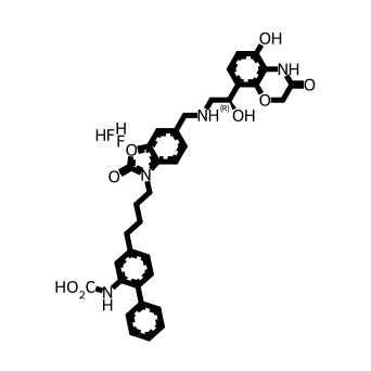 F.F.O=C(O)Nc1cc(CCCCn2c(=O)oc3cc(CNC[C@H](O)c4ccc(O)c5c4OCC(=O)N5)ccc32)ccc1-c1ccccc1